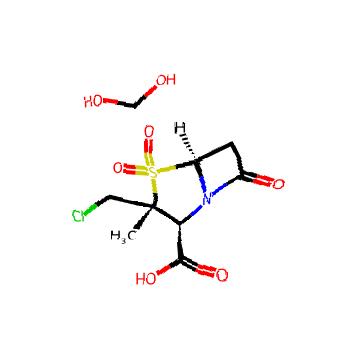 C[C@]1(CCl)[C@H](C(=O)O)N2C(=O)C[C@@H]2S1(=O)=O.OCO